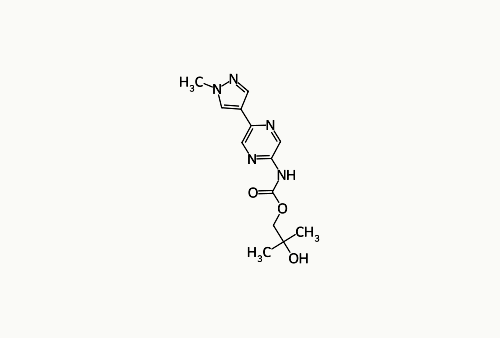 Cn1cc(-c2cnc(NC(=O)OCC(C)(C)O)cn2)cn1